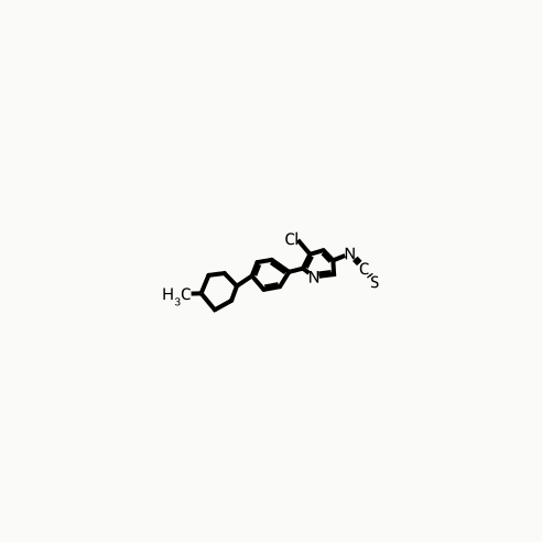 CC1CCC(c2ccc(-c3ncc(N=C=S)cc3Cl)cc2)CC1